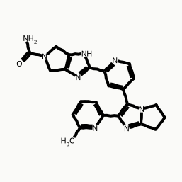 Cc1cccc(-c2nc3n(c2-c2ccnc(-c4nc5c([nH]4)CN(C(N)=O)C5)c2)CCC3)n1